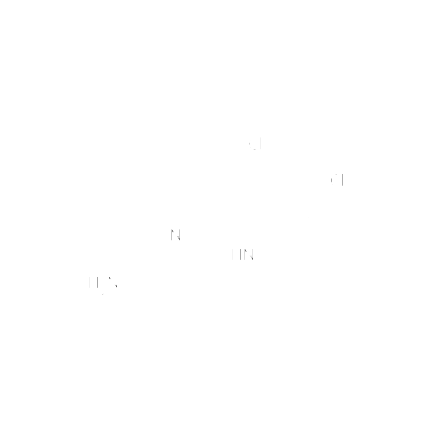 CCC(/N=C(\C)N)=C(\Cl)c1[nH]ccc1Cl